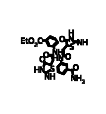 CCOC(=O)c1cccc(NC(=O)CC2SC(=N)NC2=O)c1.N=C1NC(=O)C(CC(=O)Nc2cccc(C(N)=O)c2)S1